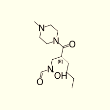 CCCC[C@H](CN(O)C=O)C(=O)N1CCN(C)CC1